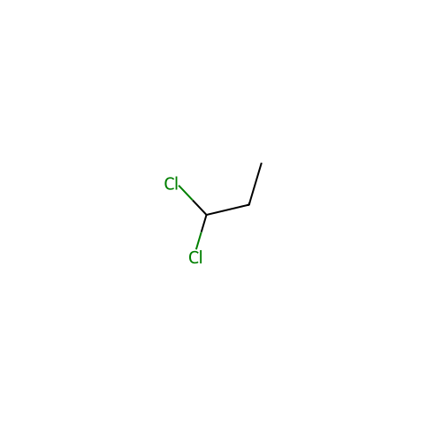 CCC(Cl)Cl